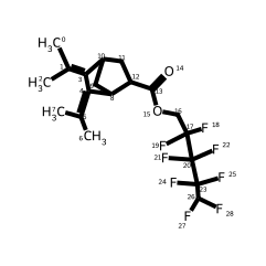 CC(C)=C1C(=C(C)C)C2CC1CC2C(=O)OCC(F)(F)C(F)(F)C(F)(F)C(F)F